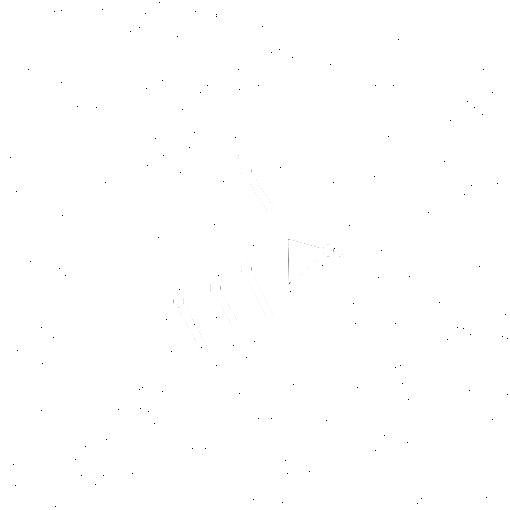 [CH2]1[CH2][Os]1.[C]=O.[C]=O.[C]=O.[C]=O